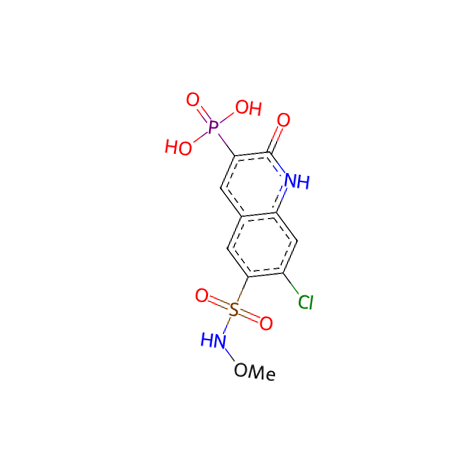 CONS(=O)(=O)c1cc2cc(P(=O)(O)O)c(=O)[nH]c2cc1Cl